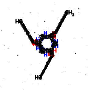 C#CC#CC#CC#CC#CC#CC#CC#COC(=O)Cc1cc2c(O)c(c1)CNC1CCCCC1NCc1cc(CC(=O)OCC#CC#CC#CC#CC#CC#CC#CC)cc(c1O)CNC1CCCCC1NCc1cc(CC(=O)OC#CC#CC#CC#CC#CC#CC#CC#C)cc(c1O)CNC1CCCCC1NC2